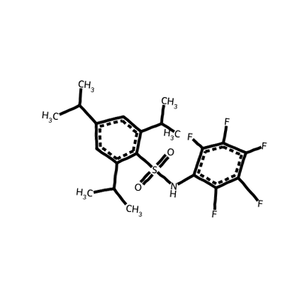 CC(C)c1cc(C(C)C)c(S(=O)(=O)Nc2c(F)c(F)c(F)c(F)c2F)c(C(C)C)c1